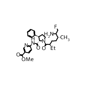 CC[C@H](CC[C@@H](C)C(N)CF)C(=O)N1CC[C@H](c2ccccc2)[C@H]1C(=O)Nc1ccc(C(=O)OC)cn1